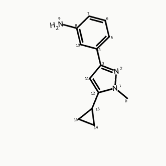 Cn1nc(-c2cccc(N)c2)cc1C1CC1